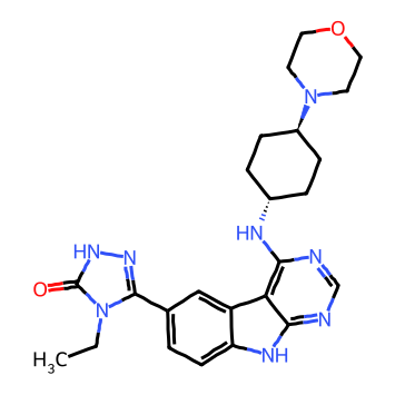 CCn1c(-c2ccc3[nH]c4ncnc(N[C@H]5CC[C@H](N6CCOCC6)CC5)c4c3c2)n[nH]c1=O